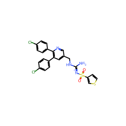 N/C(=N\S(=O)(=O)c1ccsc1)NCc1cnc(-c2ccc(Cl)cc2)c(-c2ccc(Cl)cc2)c1